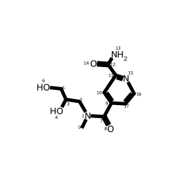 CN(CC(O)CO)C(=O)c1[c]c(C(N)=O)ncc1